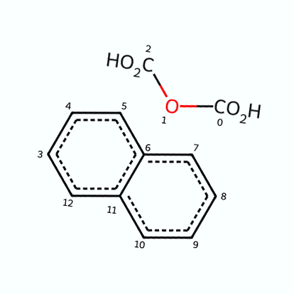 O=C(O)OC(=O)O.c1ccc2ccccc2c1